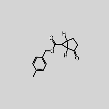 Cc1ccc(COC(=O)[C@H]2[C@@H]3CCC(=O)[C@@H]32)cc1